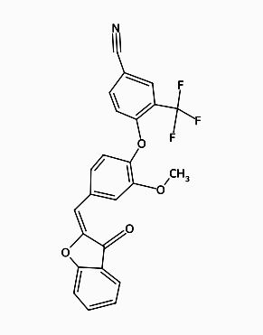 COc1cc(C=C2Oc3ccccc3C2=O)ccc1Oc1ccc(C#N)cc1C(F)(F)F